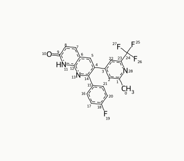 Cc1cc(-c2cc3ccc(=O)[nH]c3nc2-c2ccc(F)cc2)cc(C(F)(F)F)n1